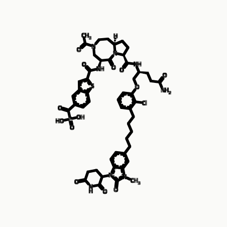 CC(=O)N1CC[C@H]2CC[C@@H](C(=O)N[C@@H](CCC(N)=O)COc3cccc(CCCCCc4ccc5c(c4)n(C)c(=O)n5C4CCC(=O)NC4=O)c3Cl)N2C(=O)[C@@H](NC(=O)c2cc3cc(C(=O)P(=O)(O)O)ccc3s2)C1